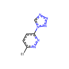 [CH2]Cc1ccc(-n2cnnn2)nn1